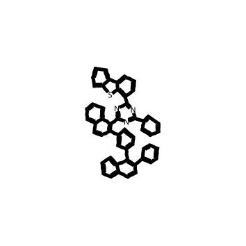 c1ccc(-c2nc(-c3c(-c4cccc(-c5c(-c6ccccc6)ccc6ccccc56)c4)ccc4ccccc34)nc(-c3cccc4c3sc3ccccc34)n2)cc1